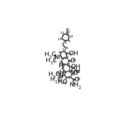 CN(C)c1cc(/C=C/c2ccc(F)cc2)c(O)c2c1C[C@H]1C[C@H]3[C@H](N(C)C)C(O)=C(C(N)=O)C(=O)[C@@]3(O)C(O)=C1C2=O